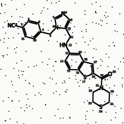 N#Cc1ccc(Cn2cncc2CNc2ccc3sc(C(=O)N4CCSCC4)cc3c2)cc1